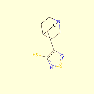 Sc1nsnc1C1CN2CCC1CC2